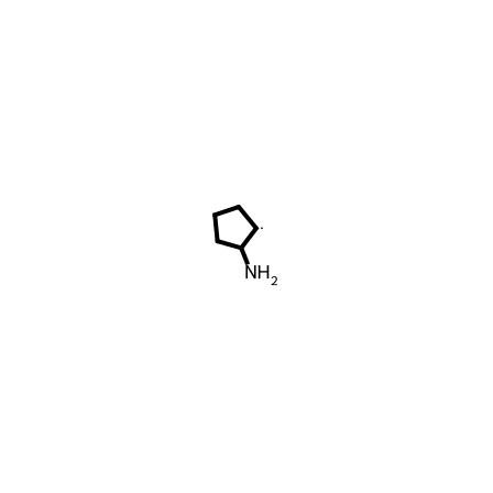 NC1[CH]CCC1